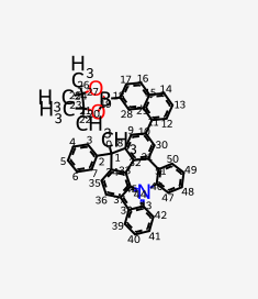 CC1(c2ccccc2)c2cc(-c3cccc4ccc(B5OC(C)(C)C(C)(C)O5)cc34)cc3c2-c2c1ccc1c4ccccc4n(c21)-c1ccccc1-3